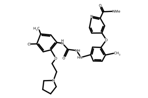 CNC(=O)c1cc(Oc2cc(NNC(=O)Nc3cc(C)c(Cl)cc3OCCN3CCCC3)ccc2C)ccn1